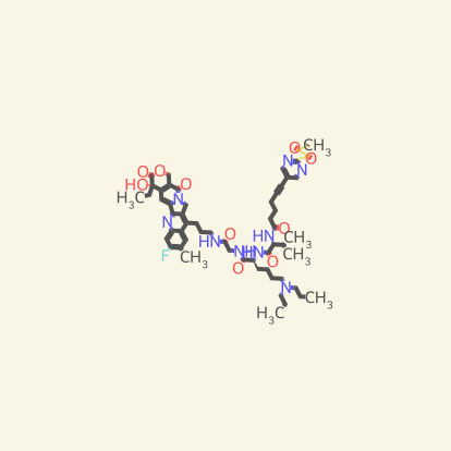 CCCN(CCC)CCCC[C@H](NC(=O)[C@@H](NC(=O)CCCC#Cc1cnc(S(C)(=O)=O)nc1)C(C)C)C(=O)NCC(=O)NCCCc1c2c(nc3cc(F)c(C)cc13)-c1cc3c(c(=O)n1C2)COC(=O)[C@]3(O)CC